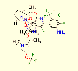 C[C@@H]1Oc2nc(-c3cc(N)c(F)c(Cl)c3C(F)(F)F)c(F)c3nc(O[C@@H](C)[C@@H]4C[C@@H](OC(F)(F)F)CN4C)nc(c23)N2C[C@H]3CC[C@@H]([C@@H]12)N3C(=O)OC(C)(C)C